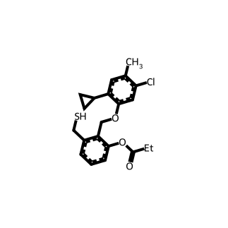 CCC(=O)Oc1cccc(CS)c1COc1cc(Cl)c(C)cc1C1CC1